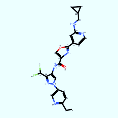 CCc1ccc(-n2cc(NC(=O)c3coc(-c4ccnc(NCC5CC5)c4)n3)c(C(F)F)n2)cn1